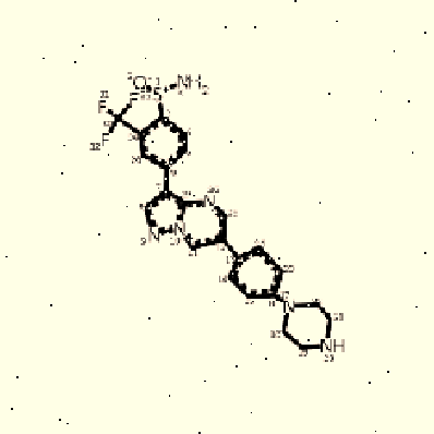 N[S+]([O-])c1ccc(-c2cnn3cc(-c4ccc(N5CCNCC5)cc4)cnc23)cc1C(F)(F)F